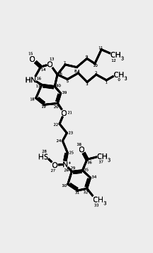 CCCCCCC1(CCCCCC)OC(=O)Nc2ccc(OCCCC=[N+](OS)c3ccc(C)cc3C(C)=O)cc21